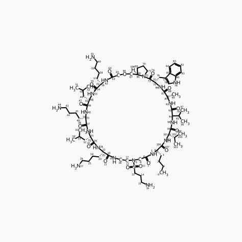 CCCC[C@@H]1NC(=O)CN(S(=O)(=O)CCCN)CCNC(=O)[C@H](CCCCN)NC(=O)[C@H](CC(C)C)NC(=O)[C@H](CCCCN)NC(=O)[C@H](CC(C)C)NC(=O)[C@H](CCCCN)NC(=O)COC[C@H]2CCCN2C(=O)[C@H](Cc2c[nH]c3ccccc23)NC(=O)[C@H](C)NC(=O)C(C(C)C)NC(=O)[C@H](C(C)C)NC1=O